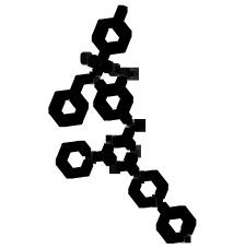 Cc1ccc(S(=O)(=O)N(Cc2ccccc2)c2ccc(Nc3nc(N4CCCCC4)nc(N4CCN(c5ccncc5)CC4)n3)cc2O)cc1